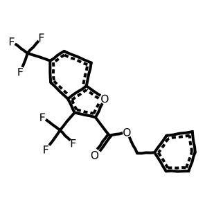 O=C(OCc1ccccc1)c1oc2ccc(C(F)(F)F)cc2c1C(F)(F)F